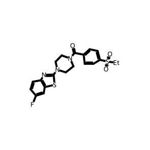 CCS(=O)(=O)c1ccc(C(=O)N2CCN(c3nc4ccc(F)cc4s3)CC2)cc1